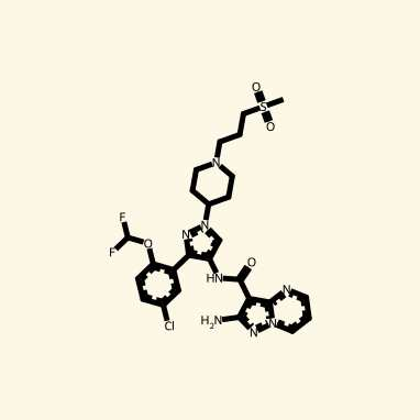 CS(=O)(=O)CCCN1CCC(n2cc(NC(=O)c3c(N)nn4cccnc34)c(-c3cc(Cl)ccc3OC(F)F)n2)CC1